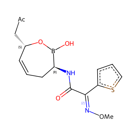 CO/N=C(/C(=O)N[C@H]1CC=C[C@H](CC(C)=O)OB1O)c1cccs1